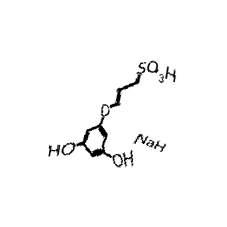 O=S(=O)(O)CCCOc1cc(O)cc(O)c1.[NaH]